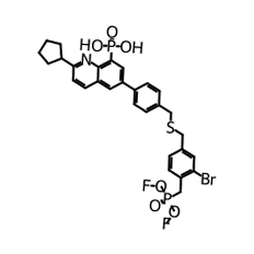 O=P(Cc1ccc(CSCc2ccc(-c3cc(P(=O)(O)O)c4nc(C5CCCC5)ccc4c3)cc2)cc1Br)(OF)OF